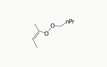 C/C=C(/C)OOCCCC